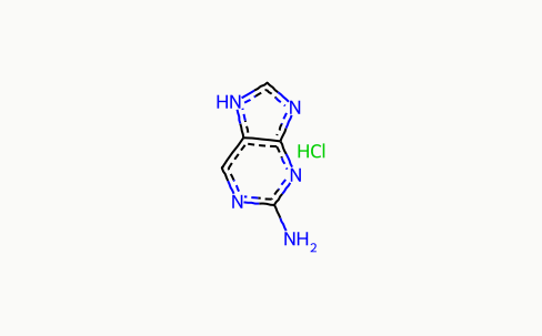 Cl.Nc1ncc2[nH]cnc2n1